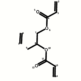 C=C.C=CC(=O)OCC(C)OC(=O)C=C